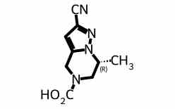 C[C@@H]1CN(C(=O)O)Cc2cc(C#N)nn21